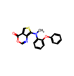 CN(c1ccccc1Oc1ccccc1)c1scc2c(=O)ocnc12